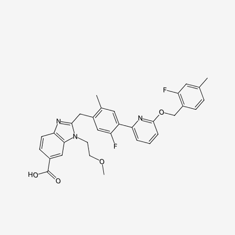 COCCn1c(Cc2cc(F)c(-c3cccc(OCc4ccc(C)cc4F)n3)cc2C)nc2ccc(C(=O)O)cc21